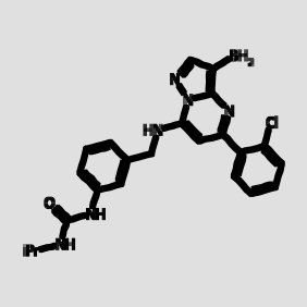 Bc1cnn2c(NCc3cccc(NC(=O)NC(C)C)c3)cc(-c3ccccc3Cl)nc12